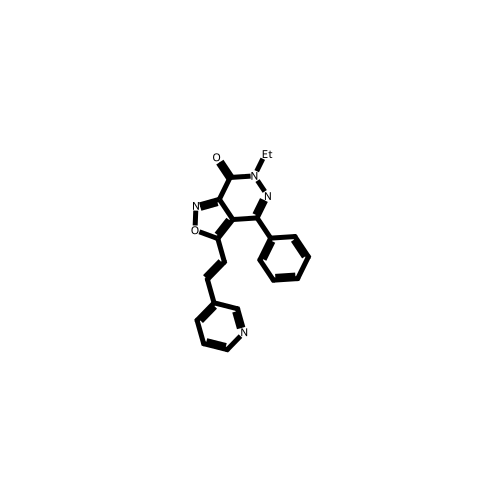 CCn1nc(-c2ccccc2)c2c(C=Cc3cccnc3)onc2c1=O